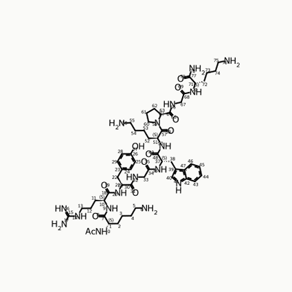 CC(=O)N[C@@H](CCCCN)C(=O)N[C@@H](CCCNC(=N)N)C(=O)N[C@@H](Cc1ccc(O)cc1)C(=O)NCC(=O)N[C@@H](Cc1c[nH]c2ccccc12)C(=O)N[C@@H](CCCCN)C(=O)N1CCC[C@H]1C(=O)NCC(=O)N[C@@H](CCCCN)C(N)=O